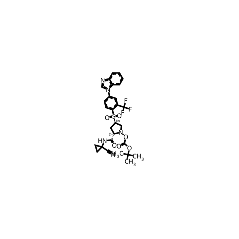 CC(C)(C)OC(=O)ON1C[C@H](S(=O)(=O)c2ccc(-n3cnc4ccccc43)cc2C(F)(F)F)C[C@H]1C(=O)NC1(C#N)CC1